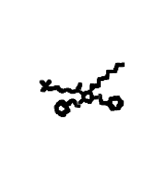 CCCCCCCO[C@@H]1[C@@H](N(C)CCCCCC(C)(C)C)[C@H](OCc2ccccc2)C[C@@H]1OCc1ccccc1